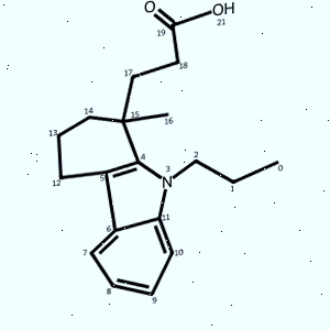 CCCn1c2c(c3ccccc31)CCCC2(C)CCC(=O)O